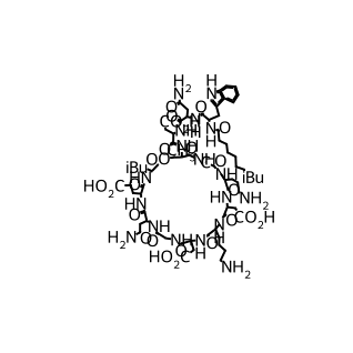 CCC(C)CCCCCCC(=O)NC(Cc1c[nH]c2ccccc12)C(=O)NC(CC(N)=O)C(=O)NC(CC(=O)O)C(=O)NC1C(=O)NCC(=O)NC(CCCN)C(=O)NC(CC(=O)O)C(=O)NC(CCCCN)C(=O)NC(CC(=O)O)C(=O)NCC(=O)NC(CC(N)=O)C(=O)NC(CCC(=O)O)C(=O)NC(C(C)CC)C(=O)OC1C